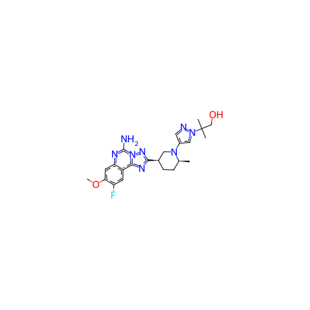 COc1cc2nc(N)n3nc([C@@H]4CC[C@H](C)N(c5cnn(C(C)(C)CO)c5)C4)nc3c2cc1F